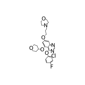 Fc1ccc(Oc2ncnc3cc(OCCCN4CCOCC4)cc(OC4CCOCC4)c23)c(Cl)c1